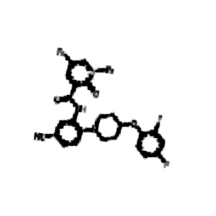 CC(C)n1cc(Br)cc(C(=O)Nc2cc(C#N)ccc2N2CCC(Oc3ccc(F)cc3F)CC2)c1=O